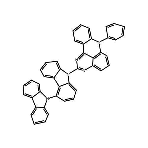 c1ccc(N2c3ccccc3-c3nc(-n4c5ccccc5c5c(-n6c7ccccc7c7ccccc76)cccc54)nc4cccc2c34)cc1